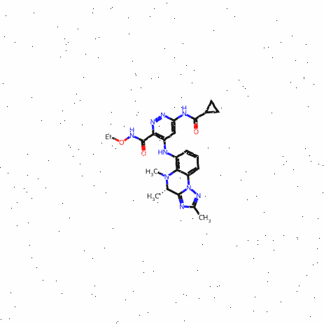 CCONC(=O)c1nnc(NC(=O)C2CC2)cc1Nc1cccc2c1N(C)[C@@H](C)c1nc(C)nn1-2